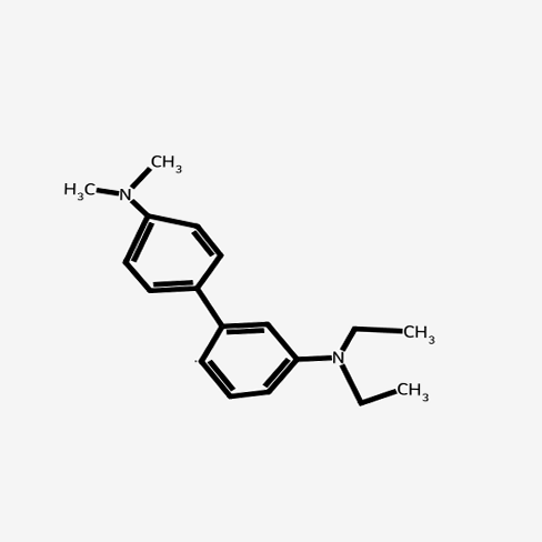 CCN(CC)c1cc[c]c(-c2ccc(N(C)C)cc2)c1